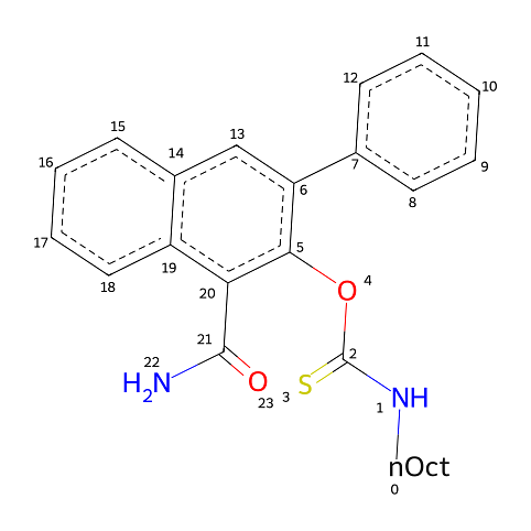 CCCCCCCCNC(=S)Oc1c(-c2ccccc2)cc2ccccc2c1C(N)=O